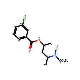 CCOC(=O)N(CC)C(C)CC(C)OC(=O)c1cccc(Cl)c1